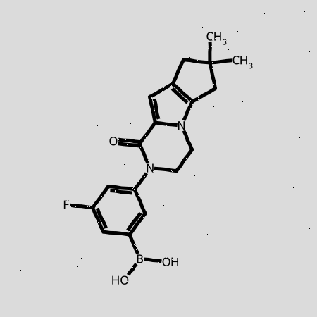 CC1(C)Cc2cc3n(c2C1)CCN(c1cc(F)cc(B(O)O)c1)C3=O